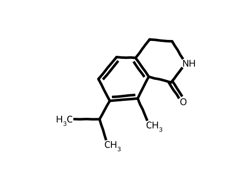 Cc1c(C(C)C)ccc2c1C(=O)NCC2